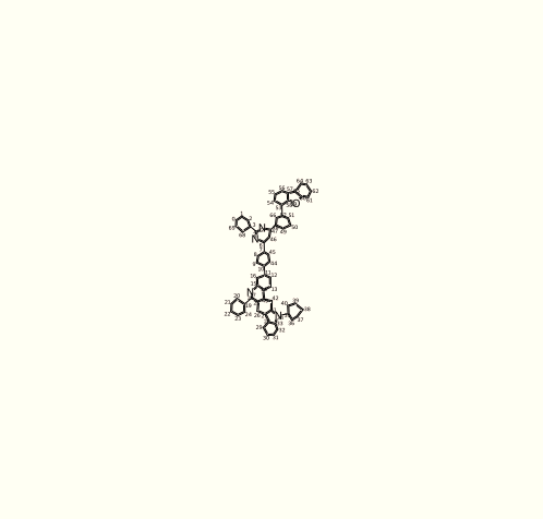 c1ccc(-c2nc(-c3ccc(-c4ccc5c(c4)nc(-c4ccccc4)c4cc6c7ccccc7n(-c7ccccc7)c6cc45)cc3)cc(-c3cccc(-c4cccc5c4oc4ccccc45)c3)n2)cc1